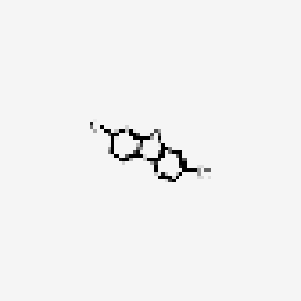 CCc1ccc2c(c1)oc1cc(Cl)ccc12